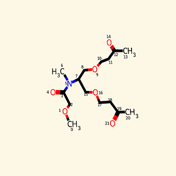 COCC(=O)N(C)C(COCCC(C)=O)COCCC(C)=O